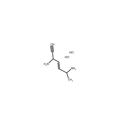 C#CC(N)/C=C/C(C)N.Cl.Cl